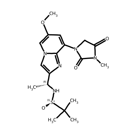 COc1cc(N2CC(=O)N(C)C2=O)c2nc([C@@H](C)N[S@+]([O-])C(C)(C)C)cn2c1